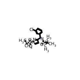 CN(C)S(=O)(=O)n1ccc(/C(=N\[S+]([O-])C(C)(C)C)c2cccc(Cl)c2)n1